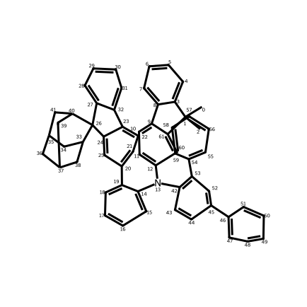 CC1(C)c2ccccc2-c2ccc(N(c3ccccc3-c3ccc4c(c3)C3(c5ccccc5-4)C4CC5CC(C4)CC3C5)c3ccc(-c4ccccc4)cc3-c3ccccc3)cc21